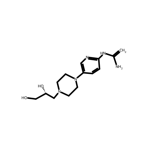 C=C(N)Nc1ccc(N2CCN(C[C@@H](O)CO)CC2)cn1